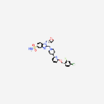 CNS(=O)(=O)c1ccc2c(c1)nc(CN1CCC(c3cccc(OCc4ccc(Cl)cc4F)n3)CC1)n2C[C@@H]1CCO1